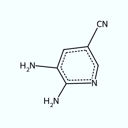 N#Cc1cnc(N)c(N)c1